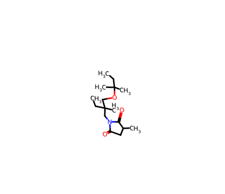 CCC(C)(COC(C)(C)CC)CN1C(=O)CC(C)C1=O